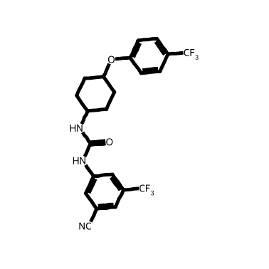 N#Cc1cc(NC(=O)NC2CCC(Oc3ccc(C(F)(F)F)cc3)CC2)cc(C(F)(F)F)c1